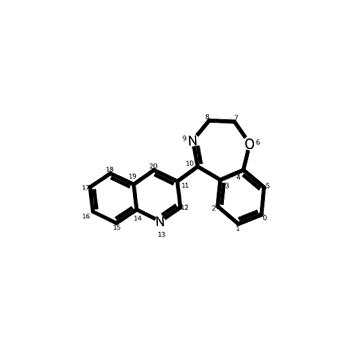 c1ccc2c(c1)OCCN=C2c1cnc2ccccc2c1